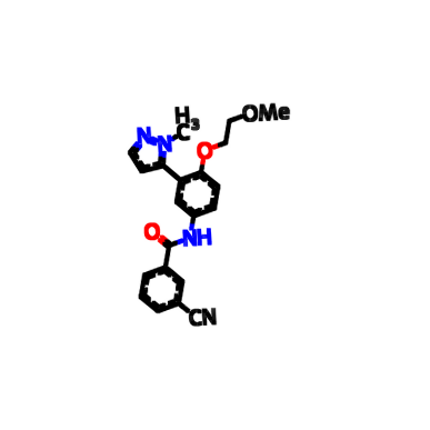 COCCOc1ccc(NC(=O)c2cccc(C#N)c2)cc1-c1ccnn1C